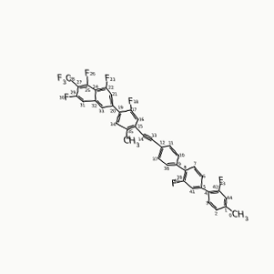 Cc1ccc(-c2ccc(-c3ccc(C#Cc4cc(F)c(-c5cc(F)c6c(F)c(C(F)(F)F)c(F)cc6c5)cc4C)cc3)c(F)c2)c(F)c1